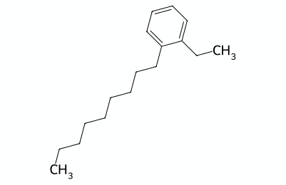 CCCCCCCCCc1ccccc1CC